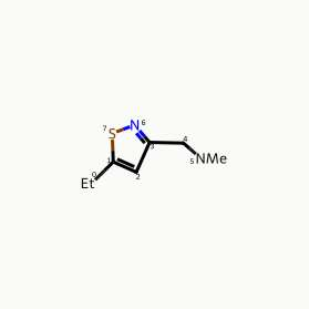 CCc1cc(CNC)ns1